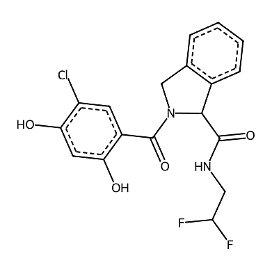 O=C(NCC(F)F)C1c2ccccc2CN1C(=O)c1cc(Cl)c(O)cc1O